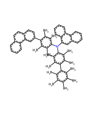 Bc1c(B)c(B)c(-c2c(B)c(B)c(N(c3c(B)c(B)c(-c4ccc5ccc6ccccc6c5c4)c(B)c3B)c3cc4ccccc4c4ccccc34)c(B)c2B)c(B)c1B